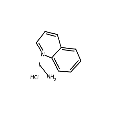 Cl.NI.c1ccc2ncccc2c1